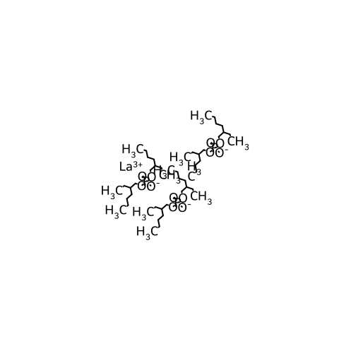 CCCCC(CC)COP(=O)([O-])OCC(CC)CCCC.CCCCC(CC)COP(=O)([O-])OCC(CC)CCCC.CCCCC(CC)COP(=O)([O-])OCC(CC)CCCC.[La+3]